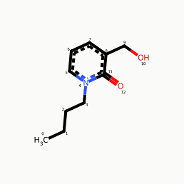 CCCCn1cccc(CO)c1=O